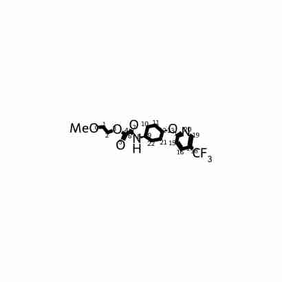 COCCOC(=O)C(=O)N[C@H]1CC[C@H](Oc2ccc(C(F)(F)F)cn2)CC1